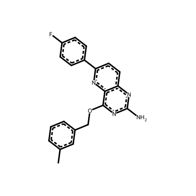 Cc1cccc(COc2nc(N)nc3ccc(-c4ccc(F)cc4)nc23)c1